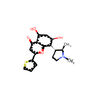 C[C@@H]1[C@@H](c2c(O)cc(O)c3c(=O)cc(-c4cccs4)oc23)CCN1C